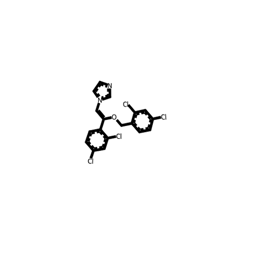 Clc1ccc(CO/C(=C\n2ccnc2)c2ccc(Cl)cc2Cl)c(Cl)c1